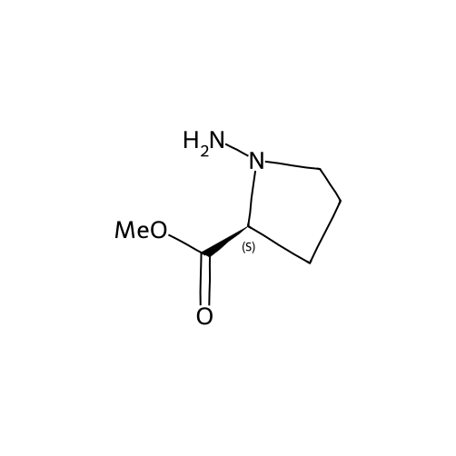 COC(=O)[C@@H]1CCCN1N